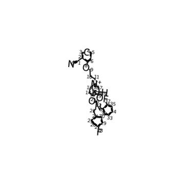 N#Cc1ccccc1OCCC[N+]12CCC(CC1)[C@@H](OC(=O)N(Cc1ccc(F)cc1)c1ccccc1F)C2